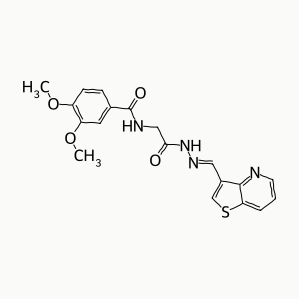 COc1ccc(C(=O)NCC(=O)N/N=C/c2csc3cccnc23)cc1OC